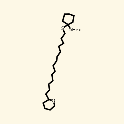 CCCCCCC1(SCCCCCCCCCCCCCCC2CCCCO2)CCCCC1